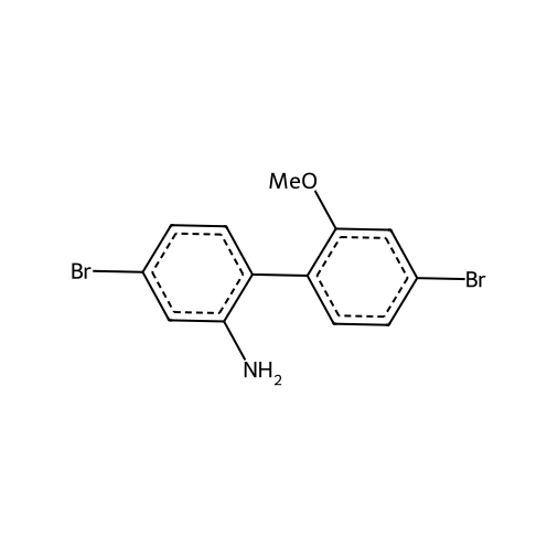 COc1cc(Br)ccc1-c1ccc(Br)cc1N